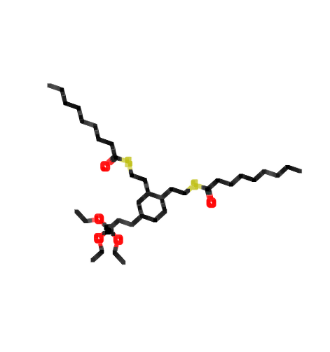 CCCCCCCCC(=O)SCCC1CCC(CC[Si](OCC)(OCC)OCC)CC1CCSC(=O)CCCCCCCC